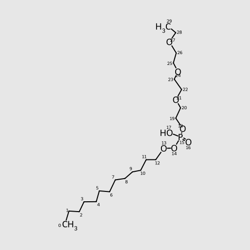 CCCCCCCCCCCCCOOP(=O)(O)OCCOCCOCCOCC